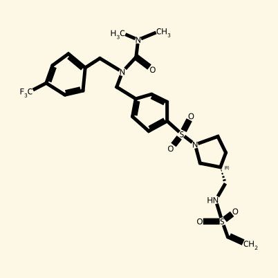 C=CS(=O)(=O)NC[C@H]1CCN(S(=O)(=O)c2ccc(CN(Cc3ccc(C(F)(F)F)cc3)C(=O)N(C)C)cc2)C1